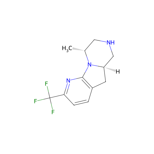 C[C@@H]1CNC[C@H]2Cc3ccc(C(F)(F)F)nc3N21